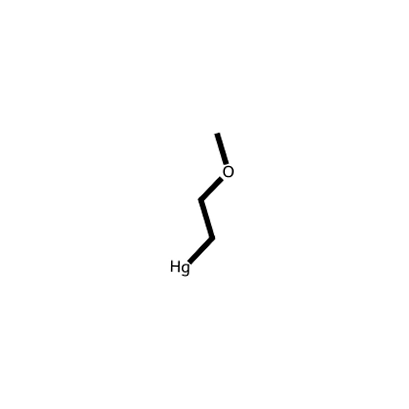 COC[CH2][Hg]